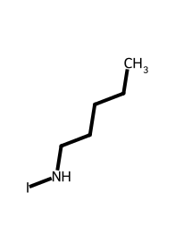 CCCCCNI